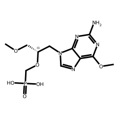 COC[C@H](Cn1cnc2c(OC)nc(N)nc21)OCP(=O)(O)O